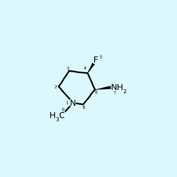 CN1CC[C@@H](F)[C@@H](N)C1